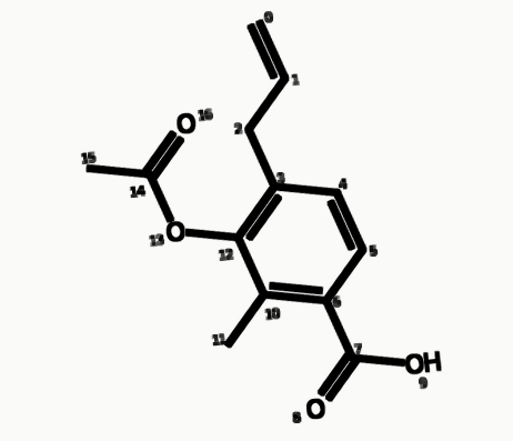 C=CCc1ccc(C(=O)O)c(C)c1OC(C)=O